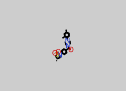 Cc1ccc(N2CCN(C(=O)c3ccc(N4C[C@@H](C)CS4(=O)=O)cc3)CC2)c(C)c1